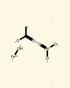 CC(=O)[O-].O=[N+]([O-])[O-].[OH][Fe+2]